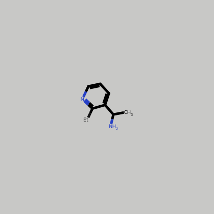 CCc1ncccc1C(C)N